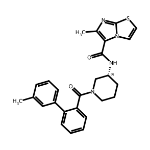 Cc1cccc(-c2ccccc2C(=O)N2CCC[C@@H](NC(=O)c3c(C)nc4sccn34)C2)c1